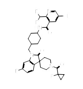 O=C(NC1CCC(CN2C(=O)C3(CCN(C(=O)C4(F)CC4)CC3)c3ccc(F)cc32)CC1)c1cc(Cl)cnc1C(F)F